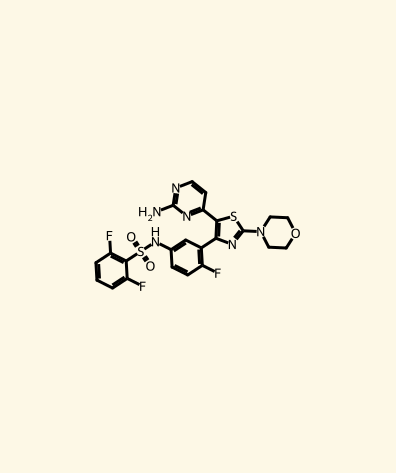 Nc1nccc(-c2sc(N3CCOCC3)nc2-c2cc(NS(=O)(=O)c3c(F)cccc3F)ccc2F)n1